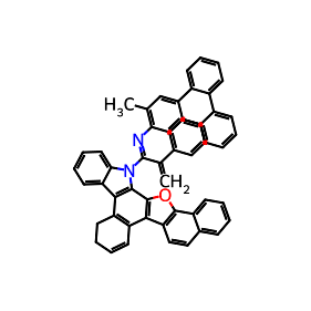 C=C(/C(=N\c1cc2c3ccccc3c3ccccc3c2cc1C)n1c2ccccc2c2c3c(c4c5ccc6ccccc6c5oc4c21)C=CCC3)c1ccccc1